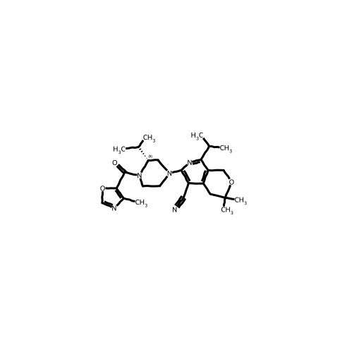 Cc1ncoc1C(=O)N1CCN(c2nc(C(C)C)c3c(c2C#N)CC(C)(C)OC3)C[C@H]1C(C)C